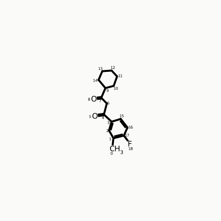 Cc1cc(C(=O)CC(=O)C2CCCCC2)ccc1F